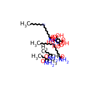 CCCCC(CC)C(N)=O.CCCCC(CC)C(N)=O.CCCCCCCC/C=C\CCCCCCCC(N)=O.CCCCCCCC/C=C\CCCCCCCC(N)=O.O=C(O)C1CC(C(=O)O)C(C(=O)O)CC1C(=O)O